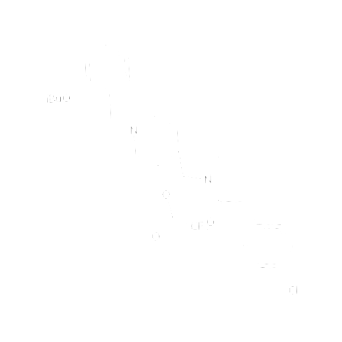 CC(C)COc1ccccc1CN1CCC2(CC1)CCN(C(=O)Cc1ccc(Cl)cc1)C2OC(=O)C(F)(F)F